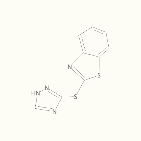 c1ccc2sc(Sc3nc[nH]n3)nc2c1